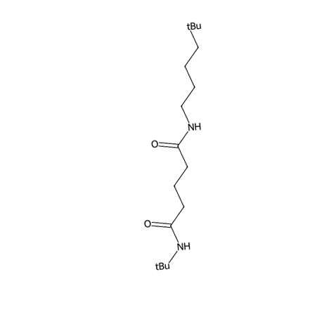 CC(C)(C)CCCCNC(=O)CCCC(=O)NC(C)(C)C